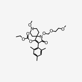 CCOC(=O)OC1=C(c2c(C)cc(C)cc2C)C(=O)N(OCOCCOC)C12CCN(OC)CC2